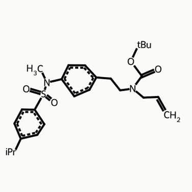 C=CCN(CCc1ccc(N(C)S(=O)(=O)c2ccc(C(C)C)cc2)cc1)C(=O)OC(C)(C)C